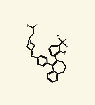 Fc1c(C2=C(c3ccc(C=C4CN(CCC(F)F)C4)cc3)c3ccccc3CCC2)cccc1C(F)(F)F